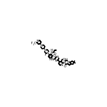 C=CC(=O)Nc1cc(Nc2nc(-c3ccnc(N4CCn5c(cc6c5CC(C)(C)C6)C4=O)c3CO)cnc2OC)ccc1N1CCN(C2CCN(c3ccnc(C(F)(F)F)c3)CC2)C[C@@H]1C